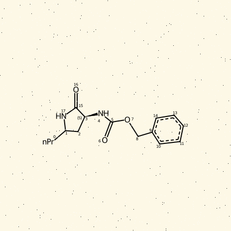 C[CH]CC1C[C@H](NC(=O)OCc2ccccc2)C(=O)N1